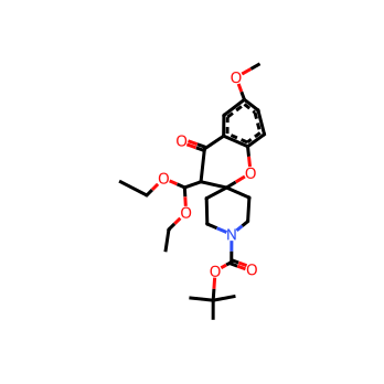 CCOC(OCC)C1C(=O)c2cc(OC)ccc2OC12CCN(C(=O)OC(C)(C)C)CC2